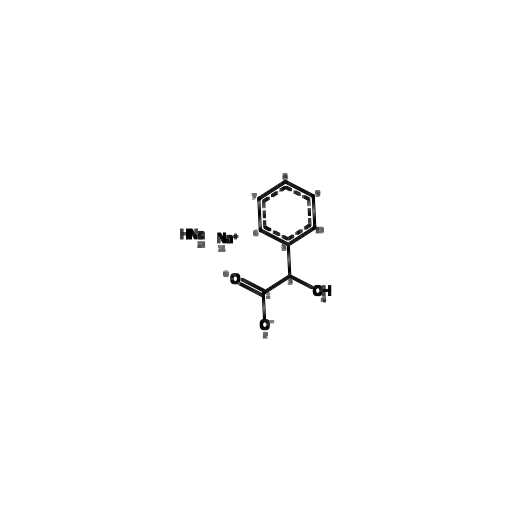 O=C([O-])C(O)c1ccccc1.[Na+].[NaH]